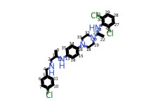 C=C(CNCc1ccc(Cl)cc1)Nc1ccc(N2CCN(C(=C)Nc3c(Cl)cccc3Cl)CC2)cc1